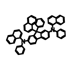 c1ccc(N(c2ccc3c(c2)C(c2ccccc2)(c2cccc4ccccc24)c2cc(N(c4ccccc4)c4cccc5ccccc45)ccc2-3)c2cccc3ccccc23)cc1